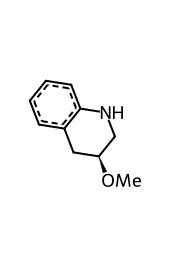 CO[C@@H]1CNc2ccccc2C1